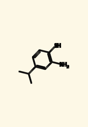 CC(C)c1ccc(S)c(N)c1